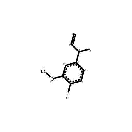 C=C[C](C)c1ccc(F)c(OCC)c1